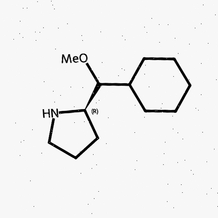 COC(C1CCCCC1)[C@H]1CCCN1